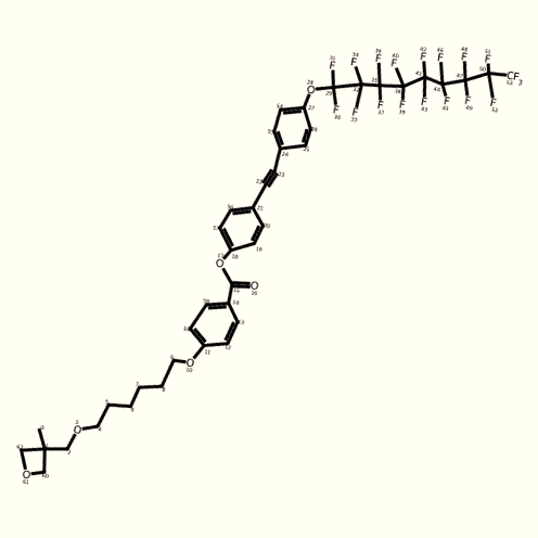 CC1(COCCCCCCOc2ccc(C(=O)Oc3ccc(C#Cc4ccc(OC(F)(F)C(F)(F)C(F)(F)C(F)(F)C(F)(F)C(F)(F)C(F)(F)C(F)(F)C(F)(F)F)cc4)cc3)cc2)COC1